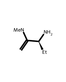 C=C(NC)[C@@H](N)CC